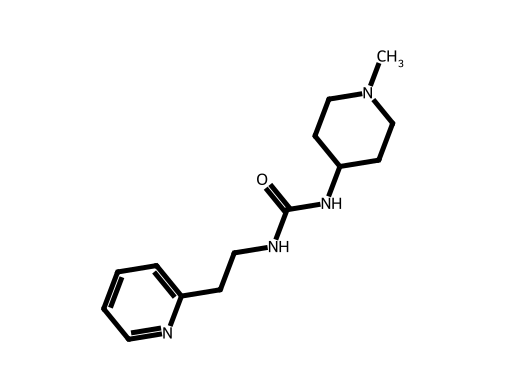 CN1CCC(NC(=O)NCCc2ccccn2)CC1